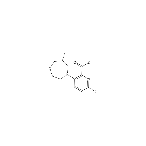 COC(=O)c1nc(Cl)ccc1N1CCOCC(C)C1